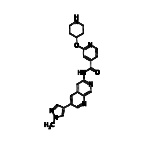 Cn1cc(-c2cnc3cnc(NC(=O)c4ccnc(OC5CCNCC5)c4)cc3c2)cn1